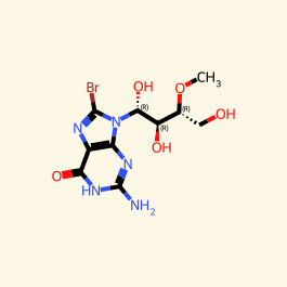 CO[C@H](CO)[C@@H](O)[C@@H](O)n1c(Br)nc2c(=O)[nH]c(N)nc21